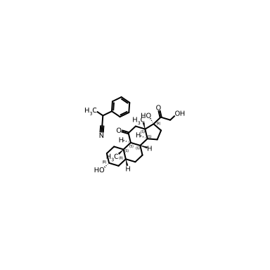 CC(C#N)c1ccccc1.C[C@]12CC[C@@H](O)C[C@H]1CC[C@@H]1[C@@H]2C(=O)C[C@@]2(C)[C@H]1CC[C@]2(O)C(=O)CO